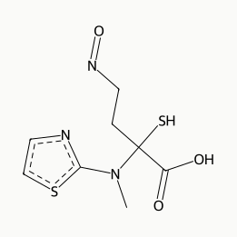 CN(c1nccs1)C(S)(CCN=O)C(=O)O